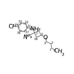 CCCCOC1CC(C#N)(Nc2ccc(Cl)cc2)C1